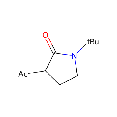 CC(=O)C1CCN(C(C)(C)C)C1=O